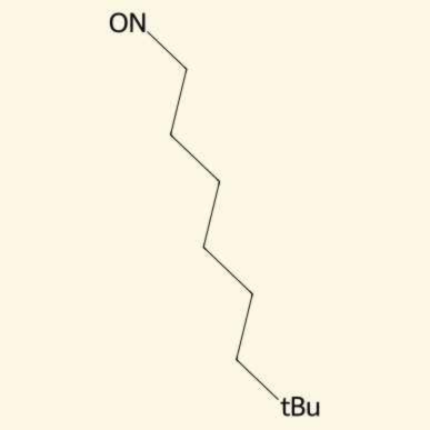 CC(C)(C)CCCCCCN=O